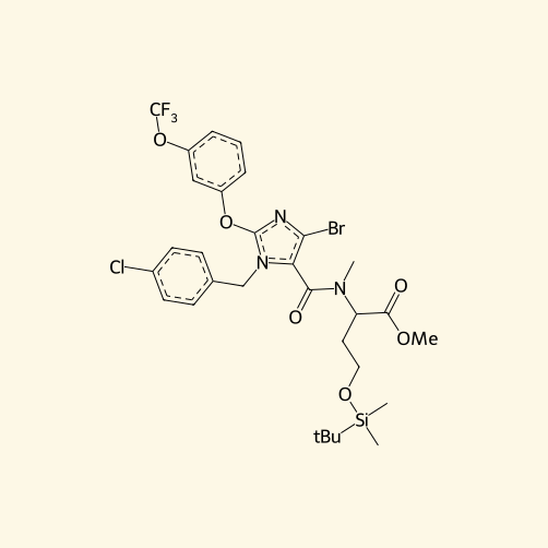 COC(=O)C(CCO[Si](C)(C)C(C)(C)C)N(C)C(=O)c1c(Br)nc(Oc2cccc(OC(F)(F)F)c2)n1Cc1ccc(Cl)cc1